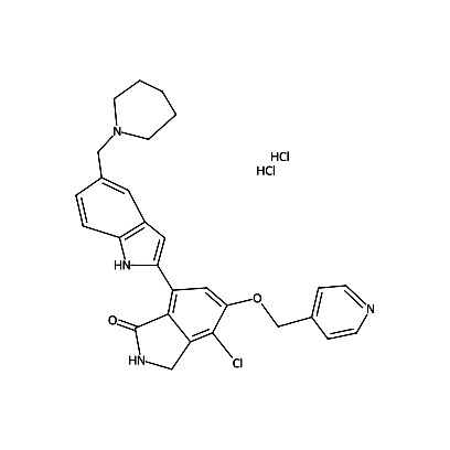 Cl.Cl.O=C1NCc2c(Cl)c(OCc3ccncc3)cc(-c3cc4cc(CN5CCCCC5)ccc4[nH]3)c21